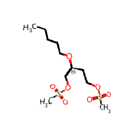 CCCCCO[C@@H](CCOS(C)(=O)=O)COS(C)(=O)=O